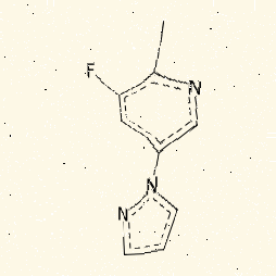 Cc1ncc(-n2cccn2)cc1F